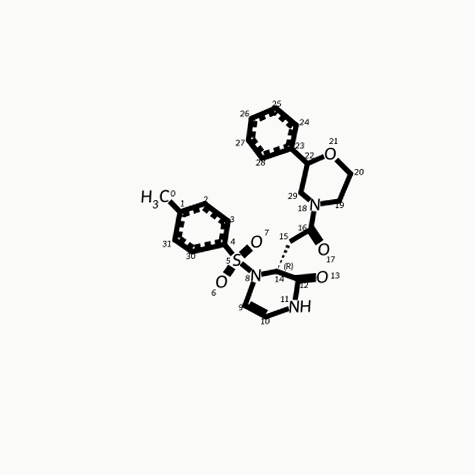 Cc1ccc(S(=O)(=O)N2C=CNC(=O)[C@H]2CC(=O)N2CCOC(c3ccccc3)C2)cc1